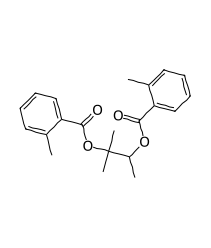 Cc1ccccc1C(=O)OC(C)C(C)(C)OC(=O)c1ccccc1C